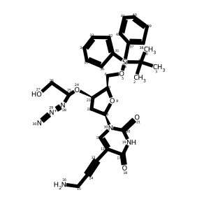 CC(C)(C)[Si](OC[C@H]1O[C@@H](n2cc(C#CCN)c(=O)[nH]c2=O)C[C@H]1OC(CO)N=[N+]=[N-])(c1ccccc1)c1ccccc1